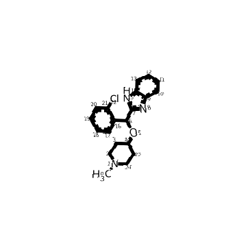 CN1CCC(OC(c2nc3ccccc3[nH]2)c2ccccc2Cl)CC1